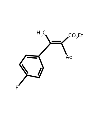 CCOC(=O)/C(C(C)=O)=C(\C)c1ccc(F)cc1